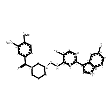 COc1ccc(C(=O)N2CCC[C@@H](CNc3nc(-c4c[nH]c5ncc(Cl)cc45)ncc3F)C2)cc1OC